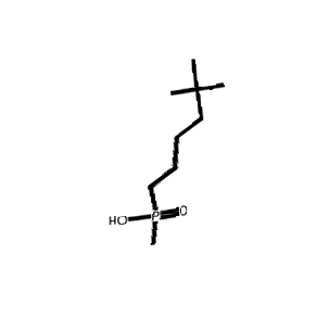 CC(C)(C)CCCCP(C)(=O)O